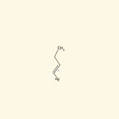 CC/C=C/[18F]